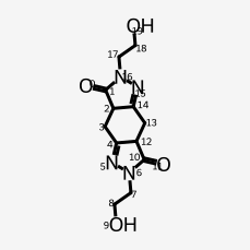 O=C1C2CC3=NN(CCO)C(=O)C3CC2=NN1CCO